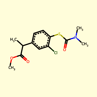 COC(=O)C(C)c1ccc(SC(=O)N(C)C)c(Cl)c1